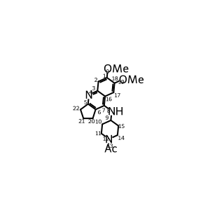 COc1cc2nc3c(c(NC4CCN(C(C)=O)CC4)c2cc1OC)CCC3